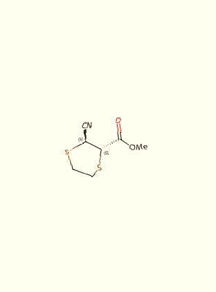 COC(=O)[C@@H]1SCCS[C@H]1C#N